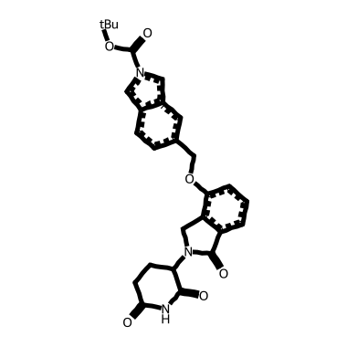 CC(C)(C)OC(=O)n1cc2ccc(COc3cccc4c3CN(C3CCC(=O)NC3=O)C4=O)cc2c1